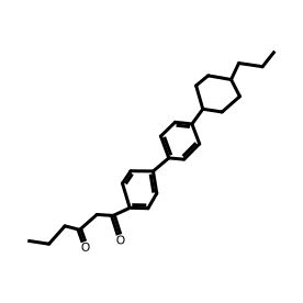 CCCC(=O)CC(=O)c1ccc(-c2ccc(C3CCC(CCC)CC3)cc2)cc1